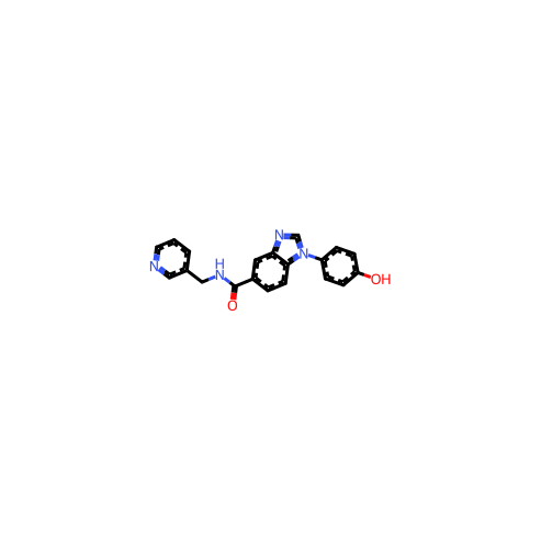 O=C(NCc1cccnc1)c1ccc2c(c1)ncn2-c1ccc(O)cc1